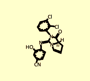 N#Cc1ccc(N=C2N(c3cccc(Cl)c3Cl)C(=O)[C@@H]3CC=CN23)c(O)c1